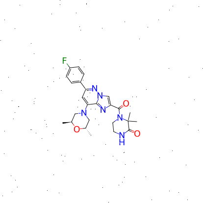 C[C@H]1CN(c2cc(-c3ccc(F)cc3)nn3cc(C(=O)N4CCNC(=O)C4(C)C)nc23)C[C@H](C)O1